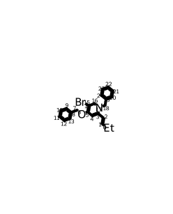 CCC=CC1=CC(OCc2ccccc2)=C(Br)CN1Cc1ccccc1